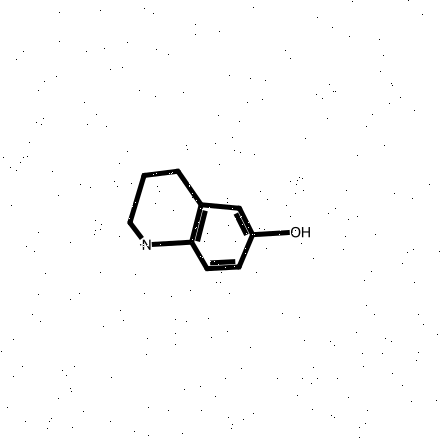 Oc1ccc2c(c1)CCC[N]2